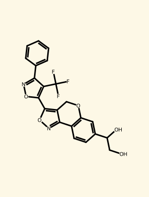 OCC(O)c1ccc2c(c1)OCc1c-2noc1-c1onc(-c2ccccc2)c1C(F)(F)F